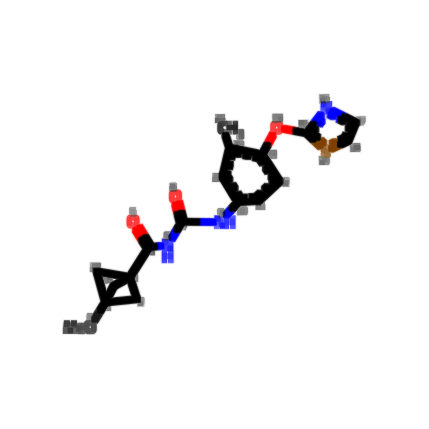 COC12CC(C(=O)NC(=O)Nc3ccc(Oc4nccs4)c(C)c3)(C1)C2